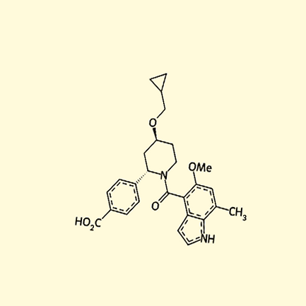 COc1cc(C)c2[nH]ccc2c1C(=O)N1CC[C@H](OCC2CC2)C[C@H]1c1ccc(C(=O)O)cc1